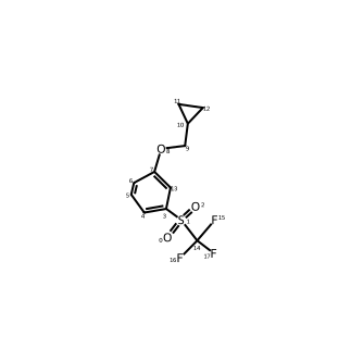 O=S(=O)(c1cccc(OCC2CC2)c1)C(F)(F)F